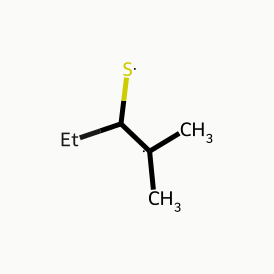 CCC([S])[C](C)C